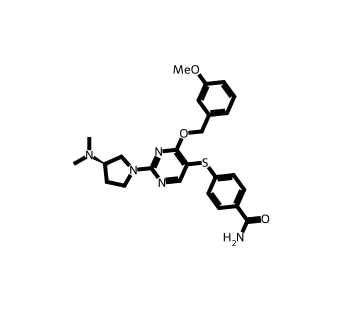 COc1cccc(COc2nc(N3CC[C@@H](N(C)C)C3)ncc2Sc2ccc(C(N)=O)cc2)c1